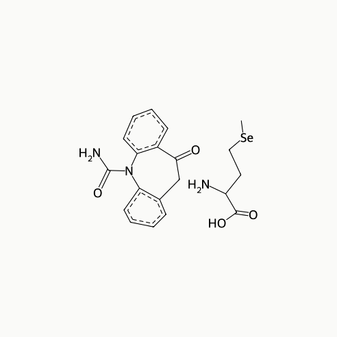 C[Se]CCC(N)C(=O)O.NC(=O)N1c2ccccc2CC(=O)c2ccccc21